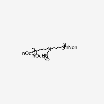 CCCCCCCCCC(=O)OCCCCCCCN(CCCCCCCC(=O)OC(CCCCCCCC)CCCCCCCC)CCCNC(=S)N(C)C